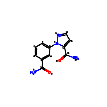 NC(=O)c1cccc(-n2nccc2C(N)=O)c1